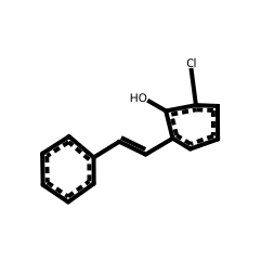 Oc1c(Cl)cccc1/C=C/c1ccccc1